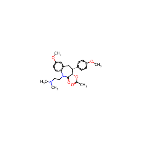 COc1ccc([C@H]2Cc3cc(OC)ccc3N(CCN(C)C)C(=O)[C@H]2OC(C)=O)cc1